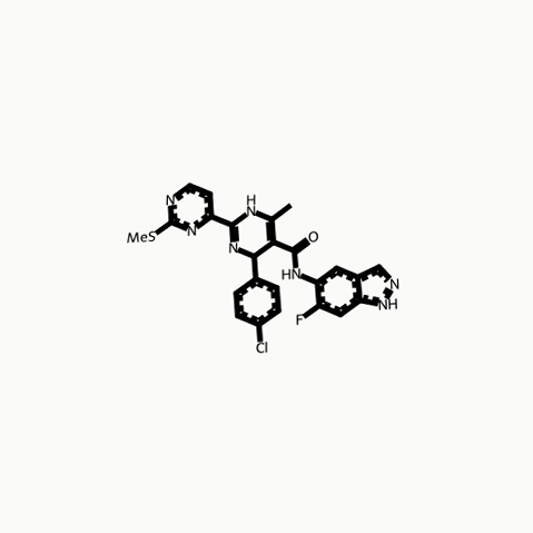 CSc1nccc(C2=NC(c3ccc(Cl)cc3)C(C(=O)Nc3cc4cn[nH]c4cc3F)=C(C)N2)n1